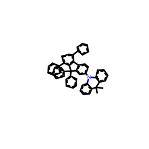 CC1(C)c2ccccc2N(c2ccc3c(c2)C(c2ccccc2)(c2ccccc2)c2c(-c4ccccc4)ccc(-c4ccccc4)c2-3)c2ccccc21